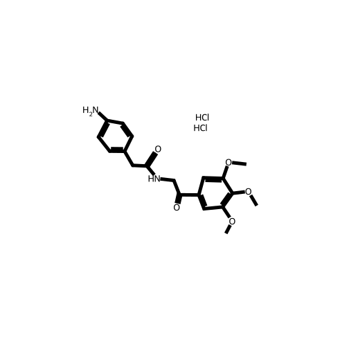 COc1cc(C(=O)CNC(=O)Cc2ccc(N)cc2)cc(OC)c1OC.Cl.Cl